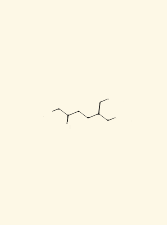 CCC(O)CCC(CC)CC